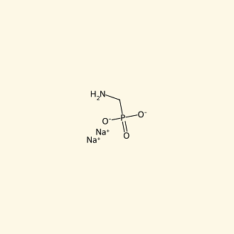 NCP(=O)([O-])[O-].[Na+].[Na+]